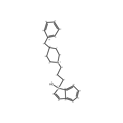 OS1(CCCN2CCC(Cc3ccccc3)CC2)C=Cc2ccccc21